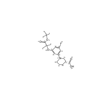 CC(C)(C)OC(=O)C(C)(C)Oc1cc(F)cc(N2CCC[C@@H](C(=O)O)C2)c1